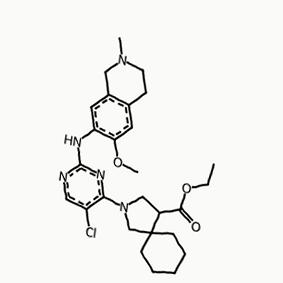 CCOC(=O)C1CN(c2nc(Nc3cc4c(cc3OC)CCN(C)C4)ncc2Cl)CC12CCCCC2